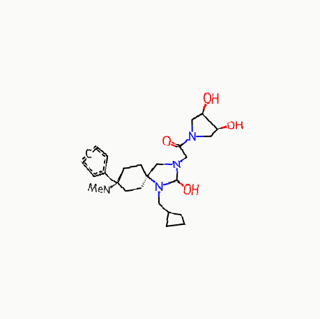 CN[C@]1(c2ccccc2)CC[C@]2(CC1)CN(CC(=O)N1C[C@@H](O)[C@@H](O)C1)C(O)N2CC1CCC1